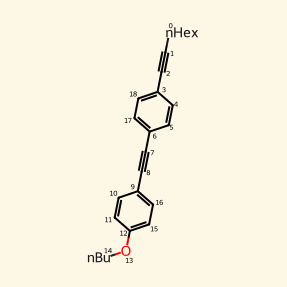 CCCCCCC#Cc1ccc(C#Cc2ccc(OCCCC)cc2)cc1